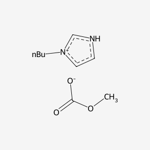 CCCC[n+]1cc[nH]c1.COC(=O)[O-]